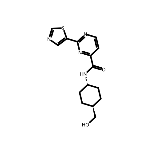 O=C(N[C@H]1CC[C@H](CO)CC1)c1ccnc(-c2cncs2)n1